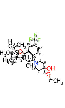 CCOCC1(O)CCN(C(c2ccc(C(F)(F)F)cc2CO[Si](C(C)C)(C(C)C)C(C)C)C(C)C)CC1